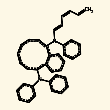 C=C/C=C\C=C\N(c1ccccc1)c1ccccccc(N(c2ccccc2)c2ccccc2)c2ccccc12